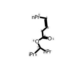 CCC/C=C\CC(=O)OC(C(C)C)C(C)C